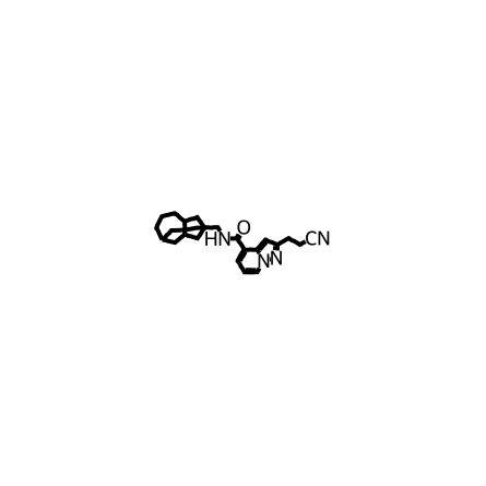 N#CCCc1cc2c(C(=O)NCC34CC5CCCC(C3)C(C5)C4)cccn2n1